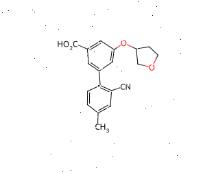 Cc1ccc(-c2cc(OC3CCOC3)cc(C(=O)O)c2)c(C#N)c1